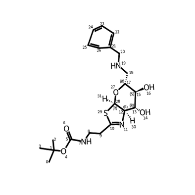 CC(C)(C)OC(=O)NCCC1=N[C@@H]2[C@@H](O)[C@H](O)[C@@H](CNCc3ccccc3)O[C@@H]2S1